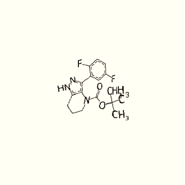 CC(C)(C)OC(=O)N1CCCc2[nH]nc(-c3cc(F)ccc3F)c21